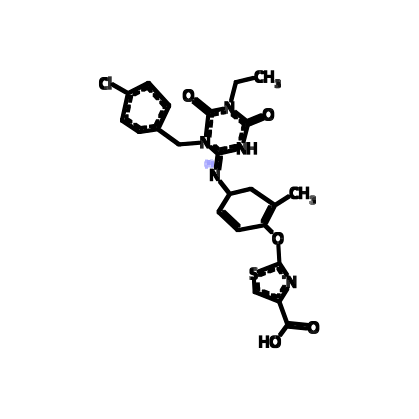 CCn1c(=O)[nH]/c(=N\C2C=CC(Oc3nc(C(=O)O)cs3)=C(C)C2)n(Cc2ccc(Cl)cc2)c1=O